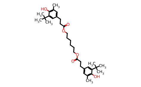 Cc1cc(CCC(=O)OCCCCCCOC(=O)CCc2cc(C)c(O)c(C(C)(C)C)c2)cc(C(C)(C)C)c1O